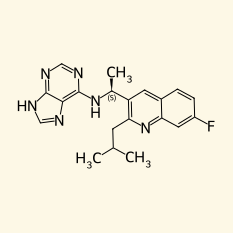 CC(C)Cc1nc2cc(F)ccc2cc1[C@H](C)Nc1ncnc2[nH]cnc12